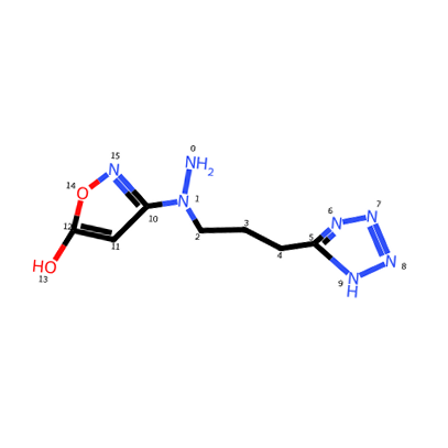 NN(CCCc1nnn[nH]1)c1cc(O)on1